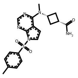 Cc1ccc(S(=O)(=O)n2ccc3c(N(C)[C@H]4C[C@@H](C(N)=O)C4)ncnc32)cc1